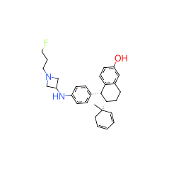 CC1([C@H]2CCc3cc(O)ccc3[C@H]2c2ccc(NC3CN(CCCF)C3)cc2)C=CC=CC1